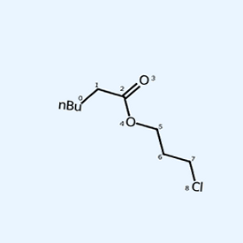 CCCCCC(=O)OCCCCl